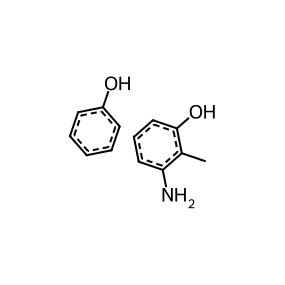 Cc1c(N)cccc1O.Oc1ccccc1